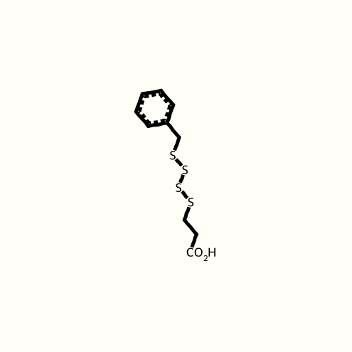 O=C(O)CCSSSSCc1ccccc1